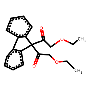 CCOCC(=O)C1(C(=O)COCC)c2ccccc2-c2ccccc21